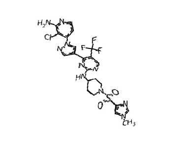 Cn1cnc(S(=O)(=O)N2CCC(Nc3ncc(C(F)(F)F)c(-c4cnn(-c5ccnc(N)c5Cl)c4)n3)CC2)c1